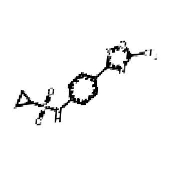 O=S(=O)(Nc1ccc(-c2noc(C(F)(F)F)n2)cc1)C1CC1